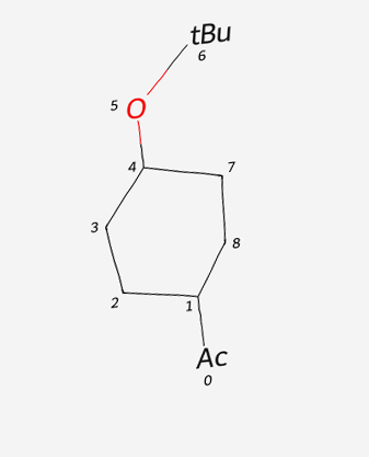 CC(=O)C1CCC(OC(C)(C)C)CC1